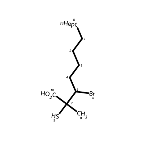 CCCCCCCCCCCC(Br)C(C)(S)C(=O)O